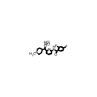 CN1CCC(C(=O)c2cccc(NC(=O)c3ccc(F)cc3F)n2)CC1.Cl.Cl